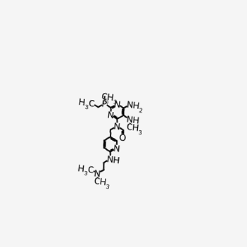 CC[P@@](C)c1nc(N)c(NC)c(N(C=O)Cc2ccc(NCCN(C)C)nc2)n1